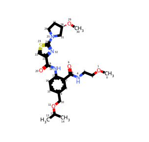 COCCNC(=O)c1cc(COC(C)C)ccc1NC(=O)c1csc(N2CC[C@H](OC)C2)n1